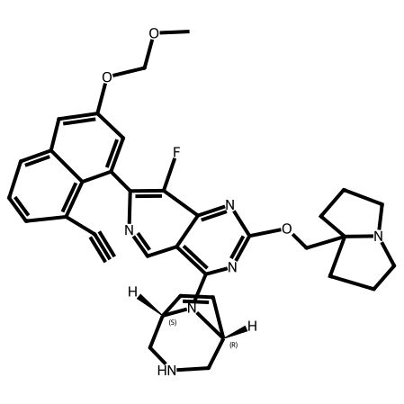 C#Cc1cccc2cc(OCOC)cc(-c3ncc4c(N5[C@@H]6C=C[C@H]5CNC6)nc(OCC56CCCN5CCC6)nc4c3F)c12